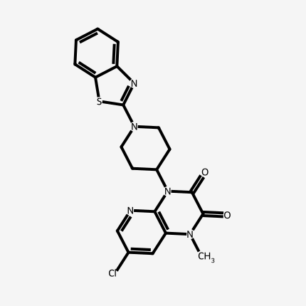 Cn1c(=O)c(=O)n(C2CCN(c3nc4ccccc4s3)CC2)c2ncc(Cl)cc21